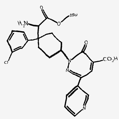 CC(C)(C)OC(=O)C(N)C1(c2cccc(Cl)c2)CCC(n2nc(-c3cccnc3)cc(C(=O)O)c2=O)CC1